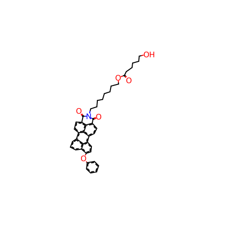 O=C(CCCCCO)OCCCCCCCCN1C(=O)c2ccc3c4cccc5c(Oc6ccccc6)ccc(c6ccc(c2c36)C1=O)c54